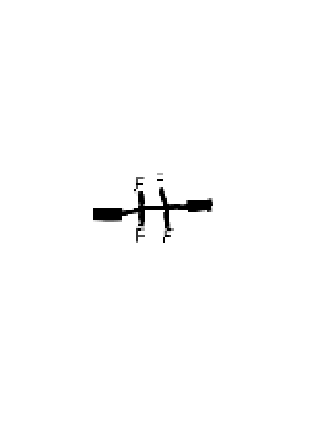 C#CC(F)(F)C(F)(F)C#C